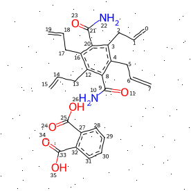 C=CCc1c(CC=C)c(C(N)=O)c(CC=C)c(CC=C)c1C(N)=O.O=C(O)c1ccccc1C(=O)O